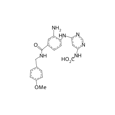 COc1ccc(CNC(=O)c2ccc(Nc3cc(NC(=O)O)ncn3)c(N)c2)cc1